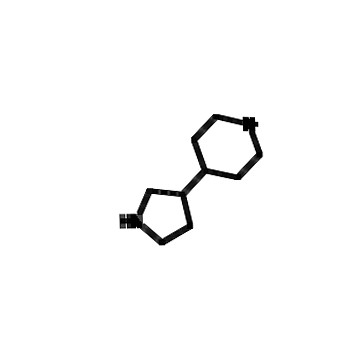 C1CC(C2CCNC2)CC[N]1